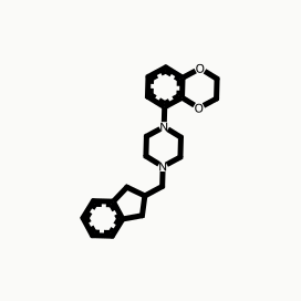 c1ccc2c(c1)CC(CN1CCN(c3cccc4c3OCCO4)CC1)C2